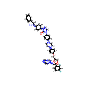 O=c1n(-c2ccc(N3CCN(c4ccc(OCC5COC(Cn6cncn6)(c6ccc(F)cc6F)O5)cc4)CC3)cc2)cnn1C1CCC(NCc2ccccc2)CC1